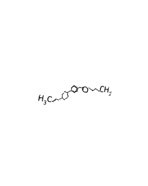 C=CCCCOCc1ccc(C2CCC(C/C=C/C)CC2)cc1